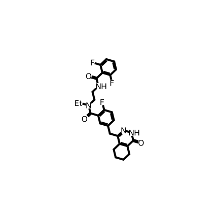 CCN(CCNC(=O)c1c(F)cccc1F)C(=O)c1cc(Cc2n[nH]c(=O)c3c2CCCC3)ccc1F